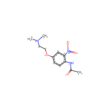 CC(=O)Nc1ccc(OCCN(C)C)cc1[N+](=O)[O-]